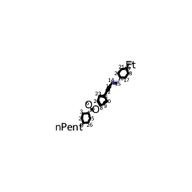 CCCCC[C@H]1CC[C@H](C(=O)Oc2ccc(C#C/C=C/[C@H]3CC[C@H](CC)CC3)cc2)CC1